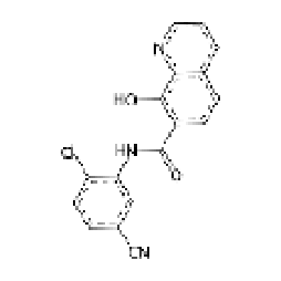 N#Cc1ccc(Cl)c(NC(=O)c2ccc3cccnc3c2O)c1